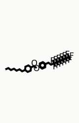 CCCCCCCC1CCC(C(=O)Oc2ccc(CCC(F)(F)C(F)(F)C(F)(F)C(F)(F)C(F)(F)C(F)(F)F)cc2)CC1